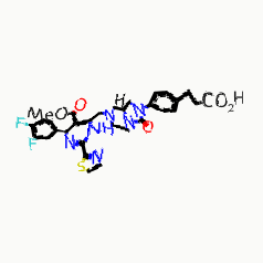 COC(=O)C1=C(CN2CCN3C(=O)N(c4ccc(CCC(=O)O)cc4)C[C@@H]3C2)NC(c2nccs2)=N[C@H]1c1ccc(F)c(F)c1